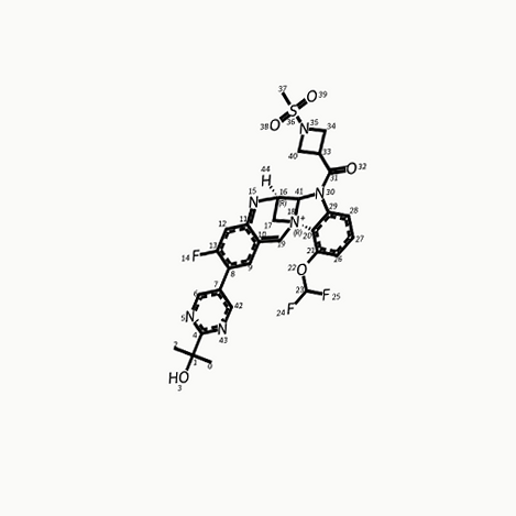 CC(C)(O)c1ncc(-c2cc3c(cc2F)=N[C@@H]2C[N@@+]4(C=3)c3c(OC(F)F)cccc3N(C(=O)C3CN(S(C)(=O)=O)C3)C24)cn1